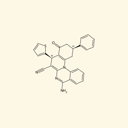 N#CC1=C2N=C(N)c3ccccc3N2C2=C(C(=O)C[C@@H](c3ccccc3)C2)[C@@H]1c1cccs1